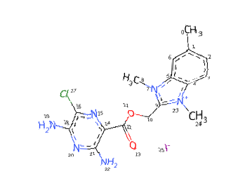 Cc1ccc2c(c1)n(C)c(COC(=O)c1nc(Cl)c(N)nc1N)[n+]2C.[I-]